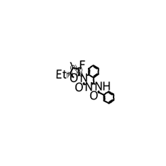 CC[C@H]1O[C@@H](n2c(=O)nc(NC(=O)c3ccccc3)c3ccccc32)[C@H](F)[C@@H]1C